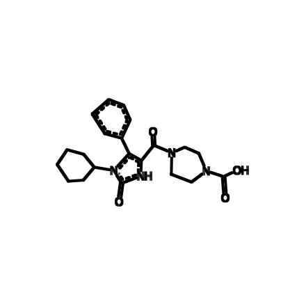 O=C(O)N1CCN(C(=O)c2[nH]c(=O)n(C3CCCCC3)c2-c2ccccc2)CC1